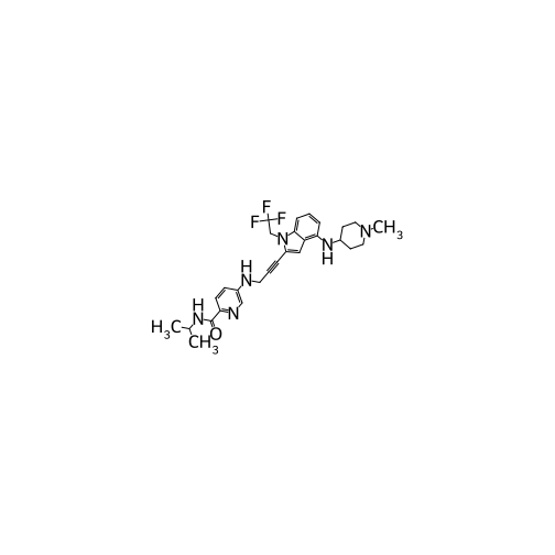 CC(C)NC(=O)c1ccc(NCC#Cc2cc3c(NC4CCN(C)CC4)cccc3n2CC(F)(F)F)cn1